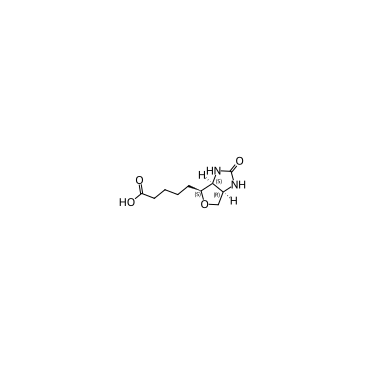 O=C(O)CCCC[C@@H]1OC[C@@H]2NC(=O)N[C@@H]21